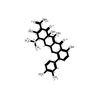 Cc1ccc(-c2ccc(O)c3c2CC2CC4C(N(C)C)C(O)=C(C(N)=O)C(=O)C4(O)C(O)=C2C3=O)cc1C